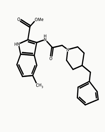 COC(=O)c1[nH]c2ccc(C)cc2c1NC(=O)CN1CCC(Cc2ccccc2)CC1